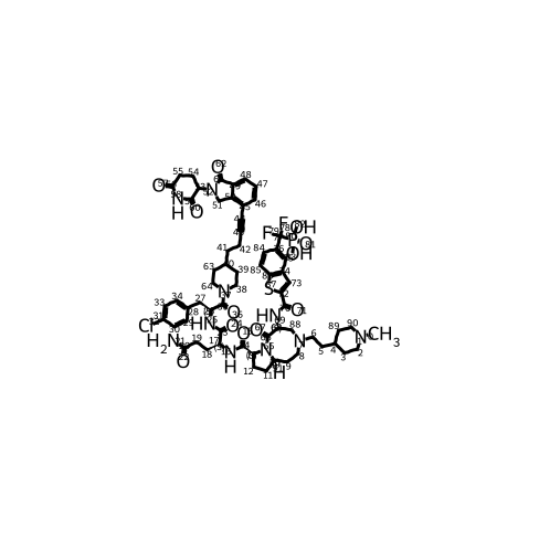 CN1CCC(CCN2CC[C@H]3CC[C@@H](C(=O)N[C@@H](CCC(N)=O)C(=O)N[C@@H](Cc4ccc(Cl)cc4)C(=O)N4CCC(CCC#Cc5cccc6c5CN(C5CCC(=O)NC5=O)C6=O)CC4)N3C(=O)[C@@H](NC(=O)c3cc4cc(C(F)(F)P(=O)(O)O)ccc4s3)C2)CC1